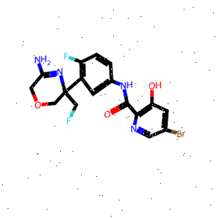 NC1=NC(CF)(c2cc(NC(=O)c3ncc(Br)cc3O)ccc2F)COC1